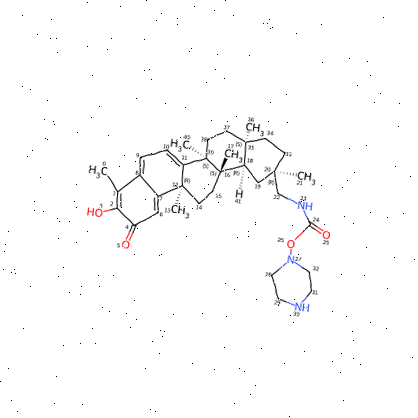 CC1=C(O)C(=O)C=C2C1=CC=C1[C@@]2(C)CC[C@@]2(C)[C@@H]3C[C@](C)(CNC(=O)ON4CCNCC4)CC[C@]3(C)CC[C@]12C